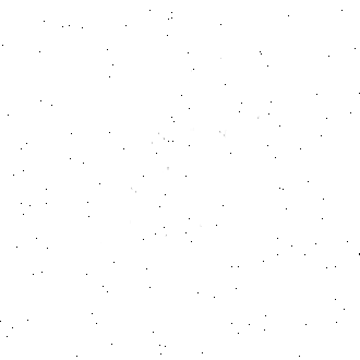 c1ccc2c(c1)CCC(N1CCCc3cccnc31)N2